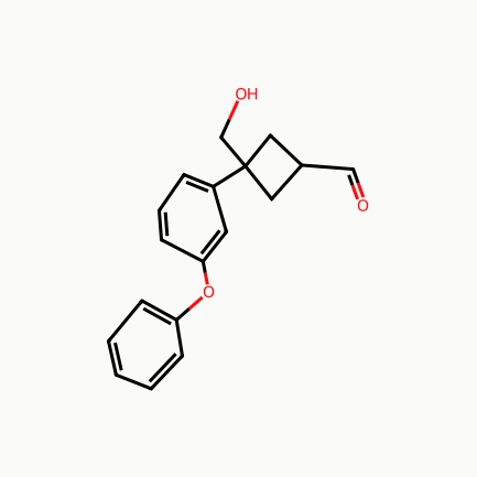 O=CC1CC(CO)(c2cccc(Oc3ccccc3)c2)C1